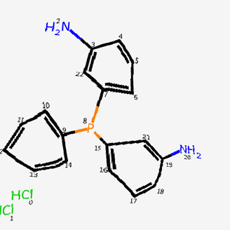 Cl.Cl.Nc1cccc(P(c2ccccc2)c2cccc(N)c2)c1